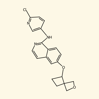 Clc1ccc(Nc2nccc3cc(OC4CCC45COC5)ccc23)cn1